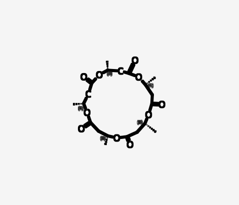 C[C@@H]1CC(=O)O[C@H](C)CC(=O)O[C@H](C)CC(=O)O[C@H](C)CC(=O)O[C@H](C)CC(=O)O1